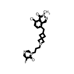 Cn1ncc2c(CC3CC4(C3)CN(CCCn3cncc(F)c3=O)C4)ccc(Cl)c2c1=O